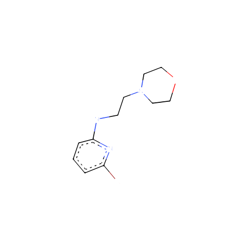 Brc1cccc(NCCN2CCOCC2)n1